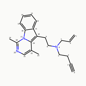 C#CCCN(CC=C)CCc1c2ccccc2n2c(C)ncc(C)c12